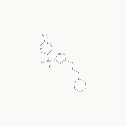 Nc1ccc([S](=O)(=O)[In]2[CH]=NC(OCCN3CCCCC3)=[CH]2)cc1